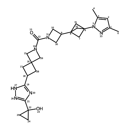 Cc1cc(C)n(C23CC(C4CN(C(=O)N5CC6(CC(c7nc(C8(O)CC8)n[nH]7)C6)C5)C4)(C2)C3)n1